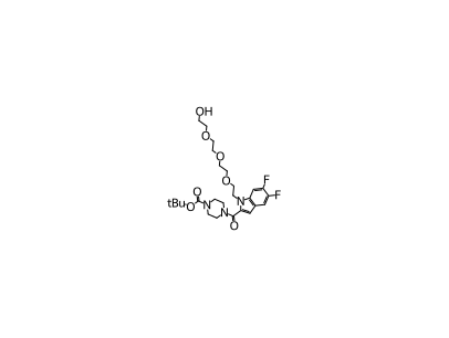 CC(C)(C)OC(=O)N1CCN(C(=O)c2cc3cc(F)c(F)cc3n2CCOCCOCCOCCO)CC1